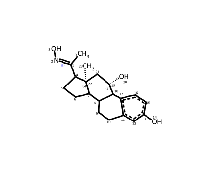 C/C(=N\O)C1CCC2C3CCc4cc(O)ccc4C3[C@@H](O)C[C@]12C